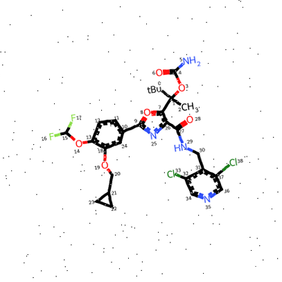 CC(C)(C)C(C)(OC(N)=O)c1oc(-c2ccc(OC(F)F)c(OCC3CC3)c2)nc1C(=O)NCc1c(Cl)cncc1Cl